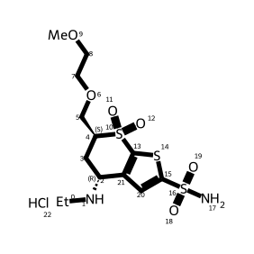 CCN[C@@H]1C[C@@H](COCCOC)S(=O)(=O)c2sc(S(N)(=O)=O)cc21.Cl